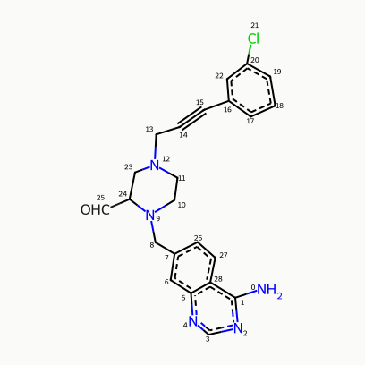 Nc1ncnc2cc(CN3CCN(CC#Cc4cccc(Cl)c4)CC3C=O)ccc12